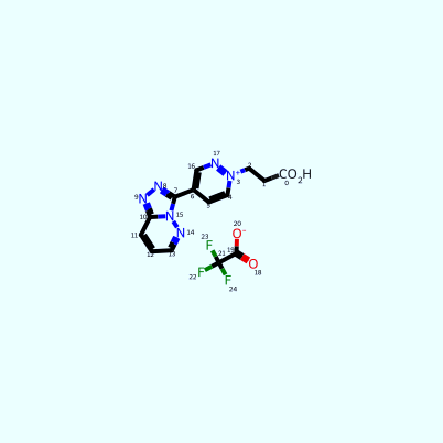 O=C(O)CC[n+]1ccc(-c2nnc3cccnn23)cn1.O=C([O-])C(F)(F)F